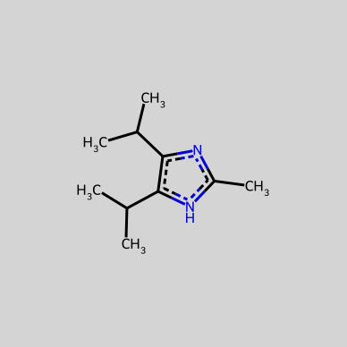 Cc1nc(C(C)C)c(C(C)C)[nH]1